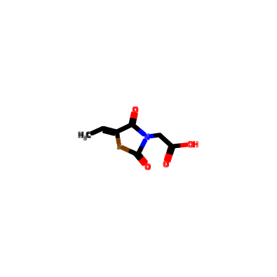 C/C=C1\SC(=O)N(CC(=O)O)C1=O